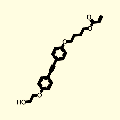 C=CC(=O)OCCCCOc1ccc(C#Cc2ccc(OCCO)cc2)cc1